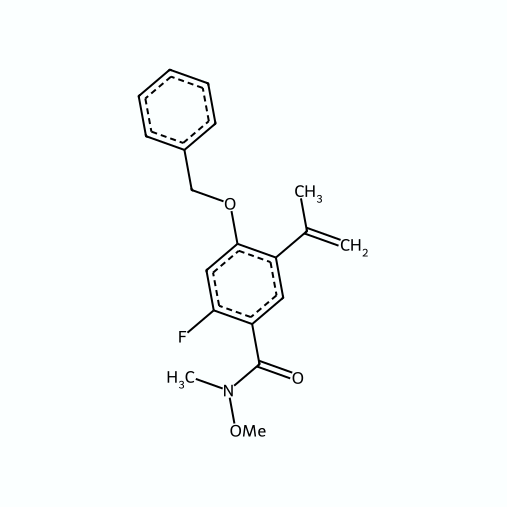 C=C(C)c1cc(C(=O)N(C)OC)c(F)cc1OCc1ccccc1